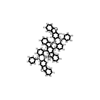 B1c2cc3c(cc2N(c2ccccc2)c2cccc(-c4c5[nH]c6ccccc6c5c5c6c4c4ccccc4n6B4c6cc7c(cc6N(c6ccccc6)c6cccc-5c64)oc4ccccc47)c21)oc1ccccc13